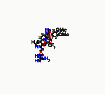 COc1ccc(S(=O)(=O)Nc2ccc(C(C)C(=O)NCCONC(=N)N)n(OC(=O)C(F)(F)F)c2=O)cc1OC